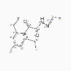 C/C=N/NC(=O)C(=O)c1c(CC)cc(C)cc1CC